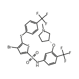 CN1CC[C@@H](Oc2cc(NS(=O)(=O)c3cc(Br)c(Sc4ccc(C(F)(F)F)cc4)s3)ccc2C(F)(F)F)C1